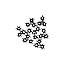 c1ccc(-n2c3ccccc3c3cc(N(c4cccc(-c5nc(-c6cccc(N(c7ccc8c(c7)c7ccccc7n8-c7ccccc7)c7ccc8c(c7)c7ccccc7n8-c7ccccc7)c6)nc(-c6cccc(N(c7ccc8c(c7)c7ccccc7n8-c7ccccc7)c7ccc8c(c7)c7ccccc7n8-c7ccccc7)c6)n5)c4)c4ccc5c(c4)c4ccccc4n5-c4ccccc4)ccc32)cc1